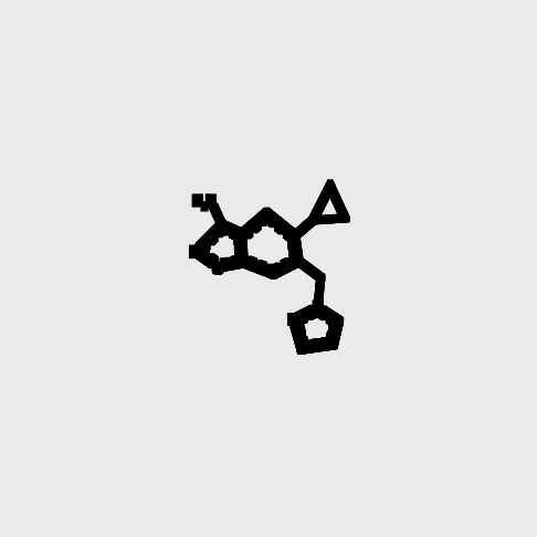 Nc1noc2cc(Cn3cccn3)c(C3CC3)cc12